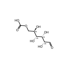 O=C[C@H](O)[C@@H](O)[C@H](O)[C@H](O)COC(=O)O